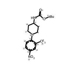 CC(C)(C)OC(=O)NC1CCN(c2ccc([N+](=O)[O-])cc2C(F)(F)F)CC1